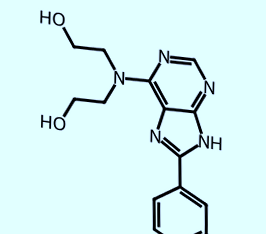 OCCN(CCO)c1ncnc2[nH]c(-c3ccncc3)nc12